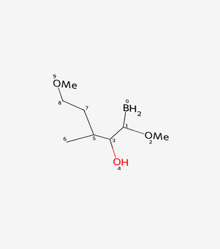 BC(OC)C(O)C(C)CCOC